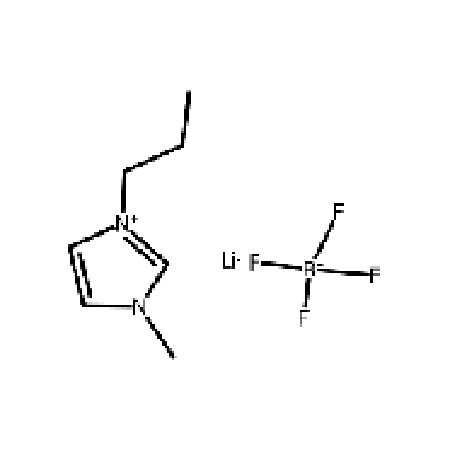 CCC[n+]1ccn(C)c1.F[B-](F)(F)F.[Li]